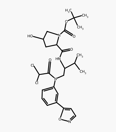 CC(C)C(CN(C(=O)C(Cl)Cl)c1cccc(-c2ccno2)c1)NC(=O)C1CC(O)CN1C(=O)OC(C)(C)C